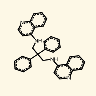 c1ccc(C(CNc2ccnc3ccccc23)(CNc2ccnc3ccccc23)c2ccccc2)cc1